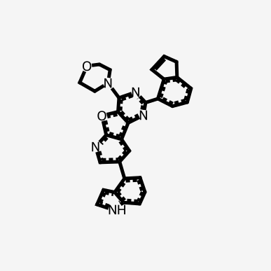 C1=Cc2c(cccc2-c2nc(N3CCOCC3)c3oc4ncc(-c5cccc6[nH]ccc56)cc4c3n2)C1